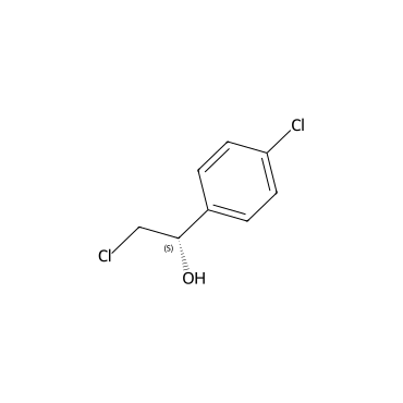 O[C@H](CCl)c1ccc(Cl)cc1